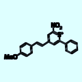 COc1ccc(C=Cc2cc(-c3ccccc3)[s+]c([N+](=O)[O-])c2)cc1